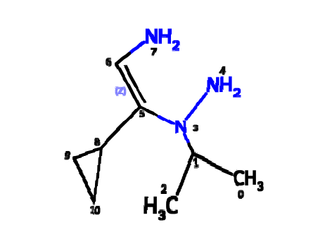 CC(C)N(N)/C(=C\N)C1CC1